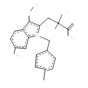 COC(=O)C(C)(C)Cc1c(SC(C)(C)C)c2ccc(OC)cc2n1Cc1ccc(Cl)cc1